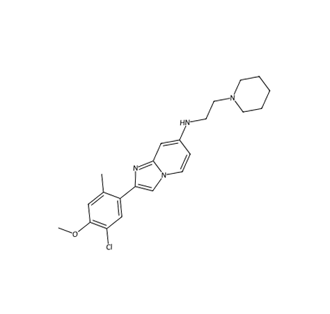 COc1cc(C)c(-c2cn3ccc(NCCN4CCCCC4)cc3n2)cc1Cl